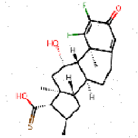 C[C@@H]1C[C@H]2[C@@H]3CCC4=CC(=O)C(F)=C(F)[C@]4(C)[C@H]3[C@@H](O)C[C@]2(C)[C@H]1C(O)=S